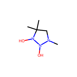 CN1CC(C)(C)N(O)N1O